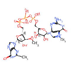 COC1[C@@H](COP(=O)(O)OP(=O)(O)OP(=O)(O)OC[C@H]2O[C@@H](n3c[n+](C)c4c(=O)[nH]c(N)nc43)C(O)[C@H]2O)O[C@@H](n2cnc3c(=O)[nH]c(C)nc32)[C@H]1O